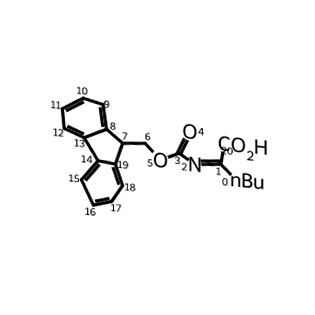 CCCC/C(=N/C(=O)OCC1c2ccccc2-c2ccccc21)C(=O)O